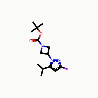 CC(C)c1cc(I)nn1C1CN(C(=O)OC(C)(C)C)C1